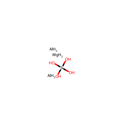 O[Si](O)(O)O.[AlH3].[AlH3].[MgH2]